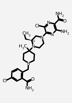 CC[C@H]1CN(c2nc(N)c(C(N)=O)nc2Cl)CCN1C1(C)CCN(Cc2ccc(Cl)cc2C(N)=O)CC1